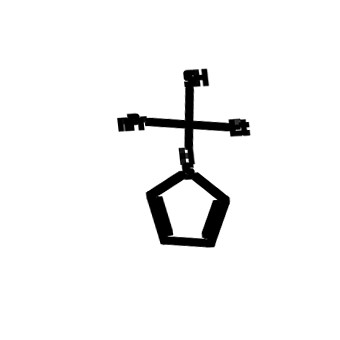 [CH2]CC(S)(CCC)[SH]1C=CC=C1